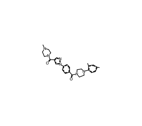 Cc1ccc(N2CCN(C(=O)c3ccc(-n4cc(C(=O)N5CCN(C)CC5)cn4)cc3)CC2)c(C)c1